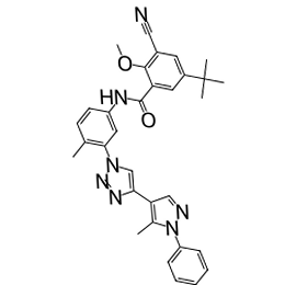 COc1c(C#N)cc(C(C)(C)C)cc1C(=O)Nc1ccc(C)c(-n2cc(-c3cnn(-c4ccccc4)c3C)nn2)c1